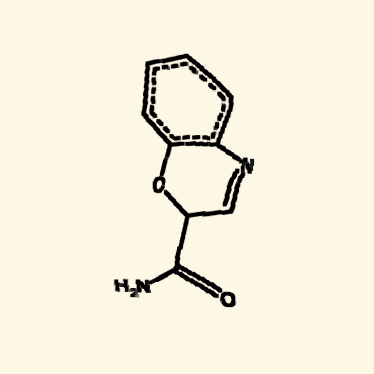 NC(=O)C1C=Nc2ccccc2O1